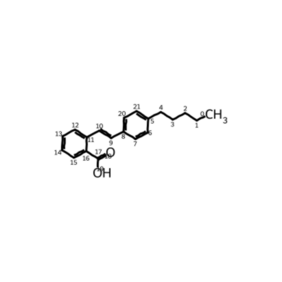 CCCCCc1ccc(/C=C/c2ccccc2C(=O)O)cc1